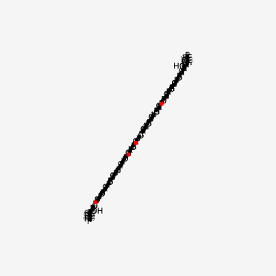 OC(COCCOCCOCCOCCOCCOCCOCCOCCOCCOCCOCCOCCOCCOCCOCCOCCOCCOCCOCCOCCOCCOCCOCCOCC(O)CC(F)(F)C(F)(F)C(F)(F)F)CC(F)(F)C(F)(F)C(F)(F)F